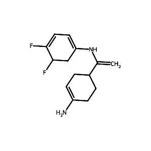 C=C(NC1=CC=C(F)C(F)C1)C1CC=C(N)CC1